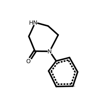 O=C1CNCCN1c1cc[c]cc1